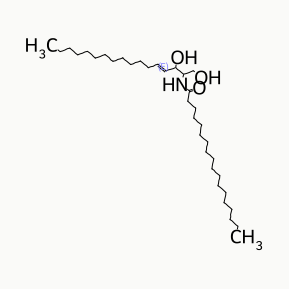 CCCCCCCCCCCC/C=C/C(O)C(CO)NC(=O)CCCCCCCCCCCCCCCCC